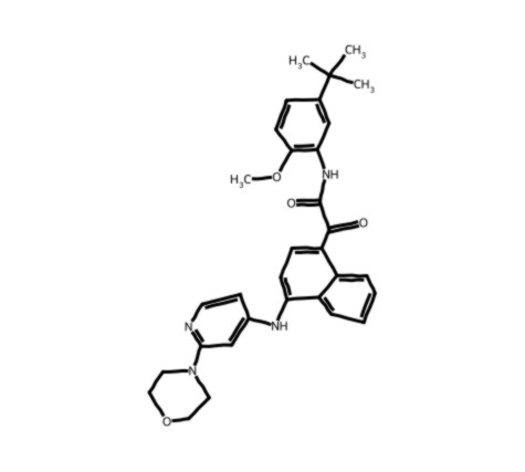 COc1ccc(C(C)(C)C)cc1NC(=O)C(=O)c1ccc(Nc2ccnc(N3CCOCC3)c2)c2ccccc12